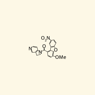 COc1ccc(C(=O)N2CCc3cnccc32)c2c1oc1ccc([N+](=O)[O-])cc12